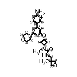 CN(C(=O)NCC1(C)COC1)[C@H]1C[C@H](Oc2cc(-c3cnc(N)nc3)nc(N3CCOCC3)n2)C1